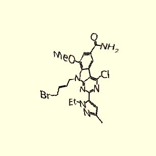 CCn1nc(C)cc1-c1nc(Cl)c2c3cc(C(N)=O)cc(OC)c3n(C/C=C/CBr)c2n1